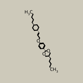 CCCCC[C@H]1CC[C@H](/C=C/COc2ccc([C@H]3OC[C@H](CCCCC)CO3)cc2)CC1